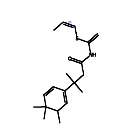 C=C(NC(=O)CC(C)(C)C1=CC(C)C(C)(C)C=C1)S/C=C\C